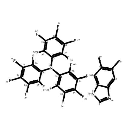 Cc1cc2nc[nH]c2cc1C.Fc1c(F)c(F)c(N(c2c(F)c(F)c(F)c(F)c2F)c2c(F)c(F)c(F)c(F)c2F)c(F)c1F